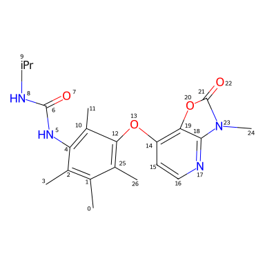 Cc1c(C)c(NC(=O)NC(C)C)c(C)c(Oc2ccnc3c2oc(=O)n3C)c1C